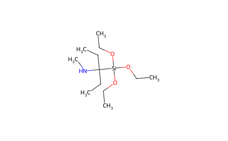 CCO[Si](OCC)(OCC)C(CC)(CC)NC